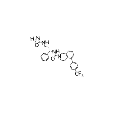 NC(=O)NCC[C@H](NC(=O)N1CCc2c(cccc2-c2ccc(C(F)(F)F)cc2)C1)c1ccccc1